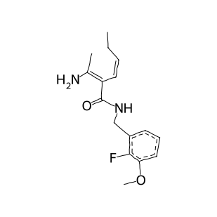 CC/C=C\C(C(=O)NCc1cccc(OC)c1F)=C(/C)N